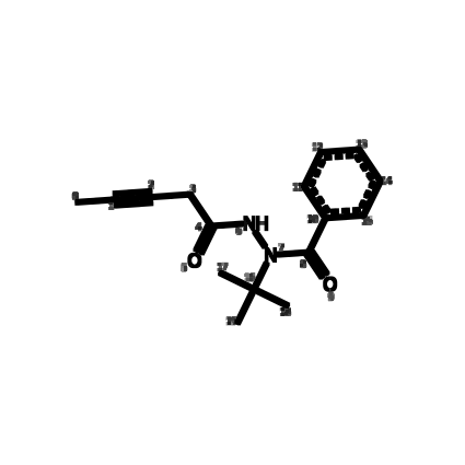 CC#CCC(=O)NN(C(=O)c1ccccc1)C(C)(C)C